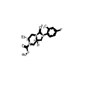 CC[C@@H]1CN2C(=O)N(c3ccc(F)cc3C(F)(F)F)C[C@@H]2CN1C(=O)OC(C)(C)C